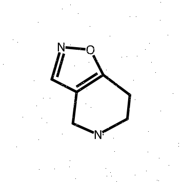 c1noc2c1C[N]CC2